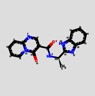 C[C@H](NC(=O)c1cnc2ccccn2c1=O)c1nc2ccccc2[nH]1